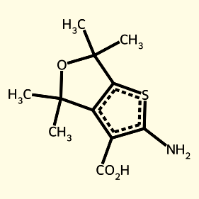 CC1(C)OC(C)(C)c2c1sc(N)c2C(=O)O